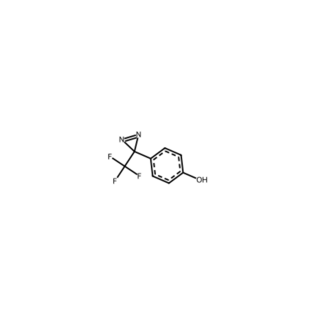 Oc1ccc(C2(C(F)(F)F)N=N2)cc1